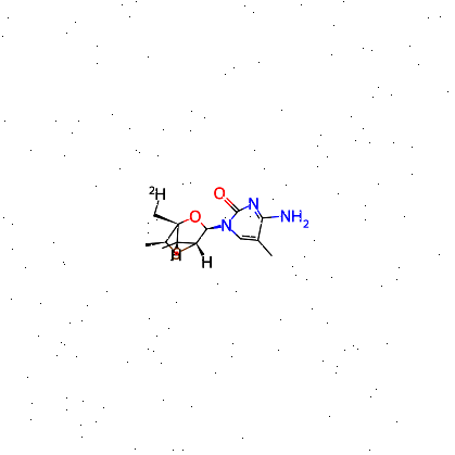 [2H]C[C@]12O[C@@H](n3cc(C)c(N)nc3=O)[C@H](S[C@H]1C)[C@@H]2C